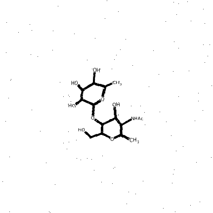 CC(=O)NC1C(C)OC(CO)C(OC2OC(C)C(O)C(O)C2O)C1O